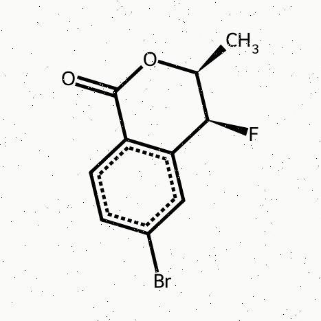 C[C@@H]1OC(=O)c2ccc(Br)cc2[C@@H]1F